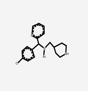 CC(=O)N(CC1CCNCC1)C(c1ccc(Cl)cc1)c1ccccn1